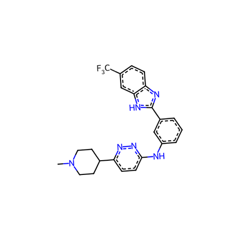 CN1CCC(c2ccc(Nc3cccc(-c4nc5ccc(C(F)(F)F)cc5[nH]4)c3)nn2)CC1